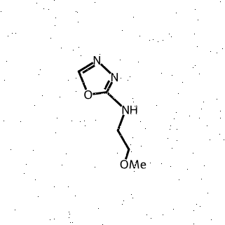 COCCNc1nnco1